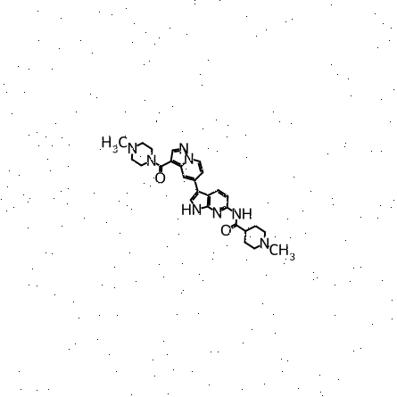 CN1CCC(C(=O)Nc2ccc3c(-c4ccn5ncc(C(=O)N6CCN(C)CC6)c5c4)c[nH]c3n2)CC1